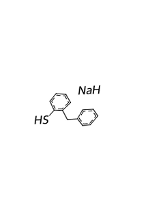 Sc1ccccc1Cc1ccccc1.[NaH]